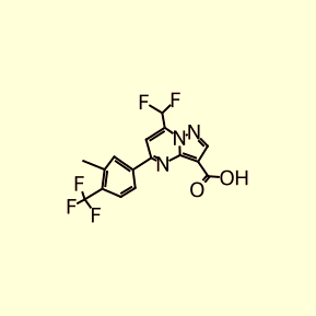 Cc1cc(-c2cc(C(F)F)n3ncc(C(=O)O)c3n2)ccc1C(F)(F)F